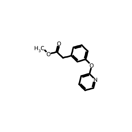 COC(=O)Cc1cccc(Oc2ccccn2)c1